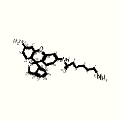 NCCCCCC(=O)Nc1ccc2c(c1)Oc1cc(N)ccc1C21OCc2ccccc21